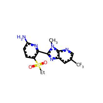 CCS(=O)(=O)c1ccc(N)nc1-c1nc2cc(C(F)(F)F)cnc2n1C